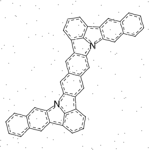 c1ccc2cc3c(cc2c1)c1cccc2c4cc5cc6c(cc5cc4n3c12)c1cccc2c3cc4ccccc4cc3n6c21